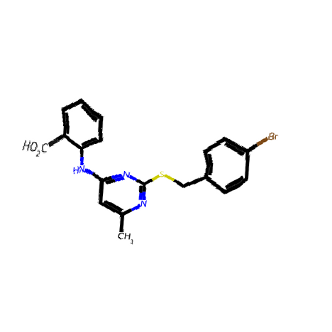 Cc1cc(Nc2ccccc2C(=O)O)nc(SCc2ccc(Br)cc2)n1